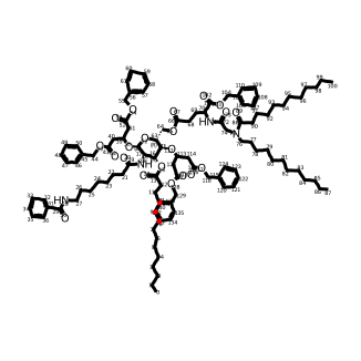 CCCCCCCCCCCCCC(=O)O[C@@H]1[C@H](NC(=O)CCCCCCCNC(=O)c2ccccc2)[C@@H](OC(CC(=O)OCc2ccccc2)CC(=O)OCc2ccccc2)O[C@H](COC(=O)CCC(NC(=O)CN(CCCCCCCCCCCC)C(=O)CCCCCCCCCCC)C(=O)OCc2ccccc2)[C@H]1OC(CC(=O)OCc1ccccc1)CC(=O)OCc1ccccc1